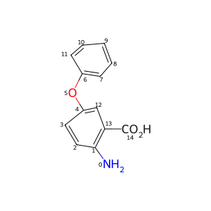 Nc1ccc(Oc2ccccc2)cc1C(=O)O